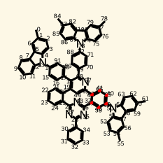 Cc1ccc2c(c1)c1ccccc1n2-c1ccc(-c2c(-c3ccccc3-c3nc(-c4ccccc4)nc(-c4ccccc4)n3)cc(-c3ccc(-n4c5ccc(C)cc5c5cc(C)ccc54)cc3)nc2-c2ccc(-n3c4ccc(C)cc4c4cc(C)ccc43)cc2)cc1